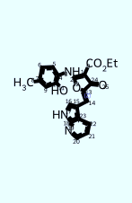 CCOC(=O)C1=C(Nc2ccc(C)cc2O)O/C(=C\c2c[nH]c3ncccc23)C1=O